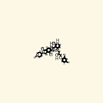 Cc1ccc(OCC(O)CNc2cc[nH]c(=O)c2-c2nc3c(Cl)c4c(cc3[nH]2)C(=O)N(C2CCN(C)CC2)C4)c(C)c1